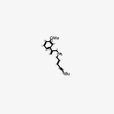 C=C(CN(C)C/C=C/C#CC(C)(C)C)c1cccc(OC)c1